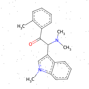 Cc1ccccc1C(=O)C(c1cn(C)c2ccccc12)N(C)C